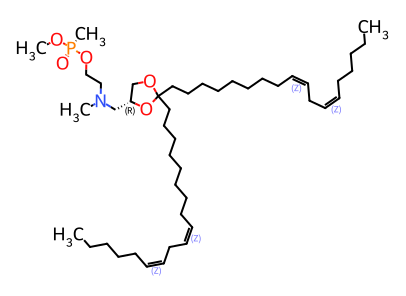 CCCCC/C=C\C/C=C\CCCCCCCCC1(CCCCCCCC/C=C\C/C=C\CCCCC)OC[C@@H](CN(C)CCOP(C)(=O)OC)O1